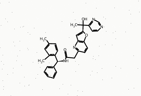 Cc1ccc([C@@H](NC(=O)Cc2ccc3oc(C(C)(O)c4ccncn4)cc3n2)c2ccccc2)c(C)c1